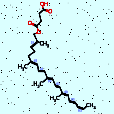 C\C=C/C=C/C=C(C)/C=C/C=C(C)/C=C/C=C(\C)CC/C=C(\C)COC(=O)CCC(=O)O